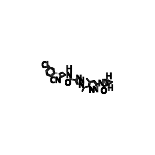 Cc1cc(N2C[C@H]3C[C@H]3C2=O)nnc1C(C)n1cc(C(=O)N[C@H]2C[C@@H](c3cc(Cl)ccc3C#N)C2)nn1